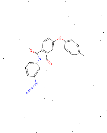 Cc1ccc(Oc2ccc3c(c2)C(=O)N(c2cccc(N=[N+]=[N-])c2)C3=O)cc1